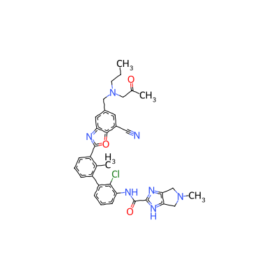 CCCN(CC(C)=O)Cc1cc(C#N)c2oc(-c3cccc(-c4cccc(NC(=O)c5nc6c([nH]5)CN(C)C6)c4Cl)c3C)nc2c1